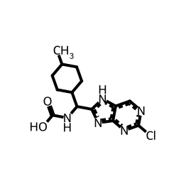 CC1CCC(C(NC(=O)O)c2nc3nc(Cl)ncc3[nH]2)CC1